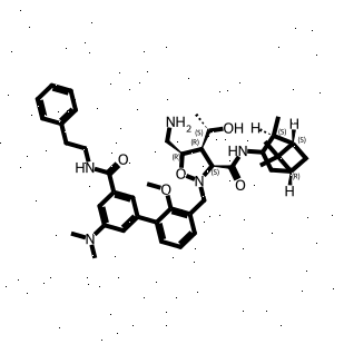 COc1c(CN2O[C@@H](CN)[C@@H]([C@H](C)O)[C@H]2C(=O)NC2C[C@H]3C[C@@H]([C@@H]2C)C3(C)C)cccc1-c1cc(C(=O)NCCc2ccccc2)cc(N(C)C)c1